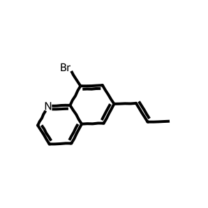 CC=Cc1cc(Br)c2ncccc2c1